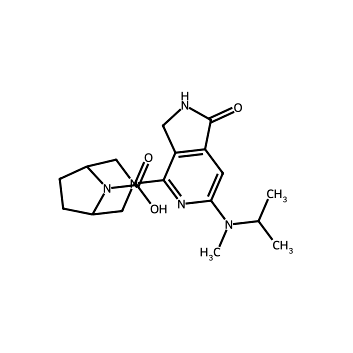 CC(C)N(C)c1cc2c(c(N3CC4CCC(C3)N4C(=O)O)n1)CNC2=O